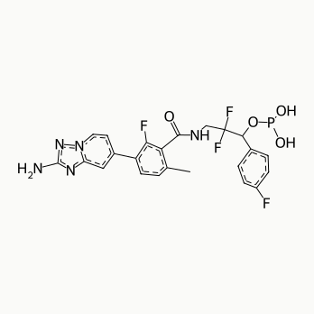 Cc1ccc(-c2ccn3nc(N)nc3c2)c(F)c1C(=O)NCC(F)(F)C(OP(O)O)c1ccc(F)cc1